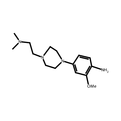 COc1cc(N2CCN(CCN(C)C)CC2)ccc1N